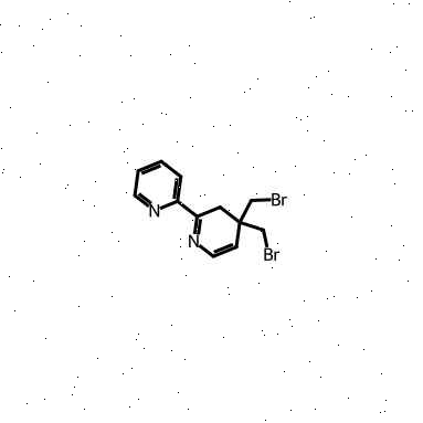 BrCC1(CBr)C=CN=C(c2ccccn2)C1